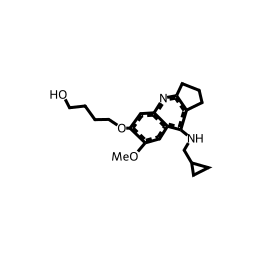 COc1cc2c(NCC3CC3)c3c(nc2cc1OCCCCO)CCC3